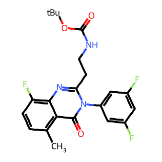 Cc1ccc(F)c2nc(CCNC(=O)OC(C)(C)C)n(-c3cc(F)cc(F)c3)c(=O)c12